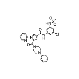 CS(=O)(=O)Nc1cc(Cl)cc(NC(=O)c2cc(C(=O)N3CCN(c4ccccc4)CC3)n(-c3ccccn3)c2)c1